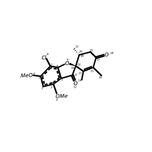 COc1cc(OC)c2c(c1Cl)O[C@]1(C2=O)C(C)=C(C)C(=O)C[C@H]1C